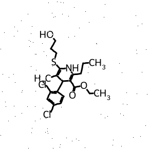 CCCC1=C(C(=O)OCC)C(c2ccc(Cl)cc2Cl)C(C)=C(SCCCO)N1